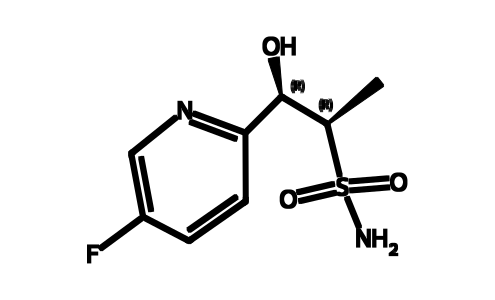 C[C@H]([C@H](O)c1ccc(F)cn1)S(N)(=O)=O